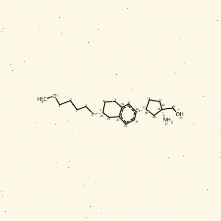 COCCCCC[C@@H]1CCc2cc([C@@H]3CC[C@@](N)(CO)C3)ccc2C1